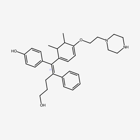 CC1C(OCCN2CCNCC2)=CC=C(/C(=C(/CCCO)c2ccccc2)c2ccc(O)cc2)C1C